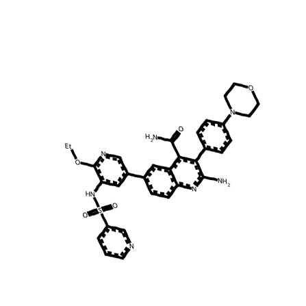 CCOc1ncc(-c2ccc3nc(N)c(-c4ccc(N5CCOCC5)cc4)c(C(N)=O)c3c2)cc1NS(=O)(=O)c1cccnc1